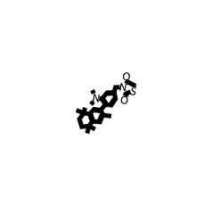 Cc1cc2c(cc1-c1ccc(CN3C(=O)CSC3=O)cc1N(C)C)C(C)(C)CCC2(C)C